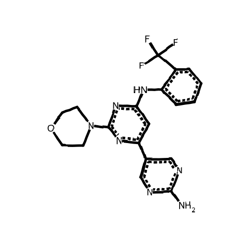 Nc1ncc(-c2cc(Nc3ccccc3C(F)(F)F)nc(N3CCOCC3)n2)cn1